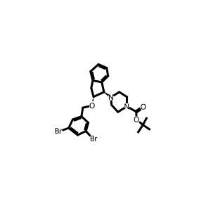 CC(C)(C)OC(=O)N1CCN([C@@H]2c3ccccc3C[C@H]2OCc2cc(Br)cc(Br)c2)CC1